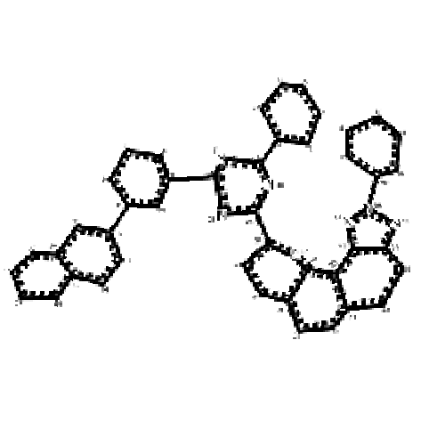 c1ccc(-c2nc(-c3cccc(-c4ccc5ccccc5c4)c3)nc(-c3ccc4ccc5ccc6nn(-c7ccccc7)nc6c5c4c3)n2)cc1